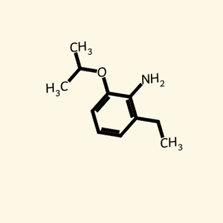 CCc1cccc(OC(C)C)c1N